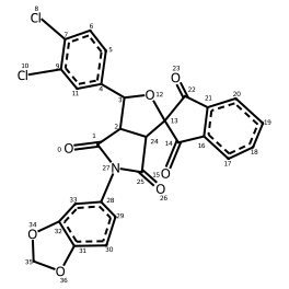 O=C1C2C(c3ccc(Cl)c(Cl)c3)OC3(C(=O)c4ccccc4C3=O)C2C(=O)N1c1ccc2c(c1)OCO2